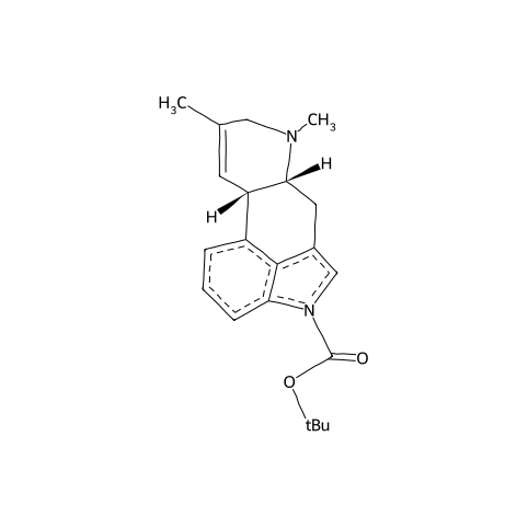 CC1=C[C@H]2c3cccc4c3c(cn4C(=O)OC(C)(C)C)C[C@H]2N(C)C1